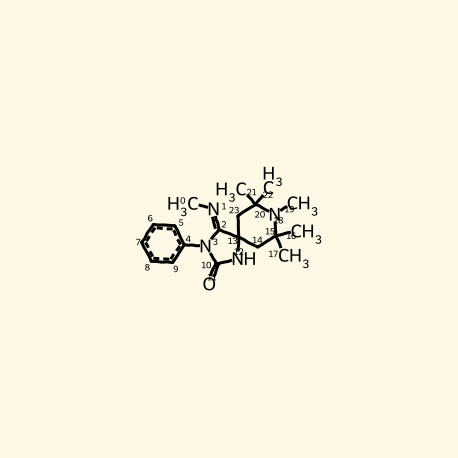 CN=C1N(c2ccccc2)C(=O)NC12CC(C)(C)N(C)C(C)(C)C2